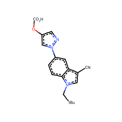 CC(C)(C)Cn1cc(C#N)c2cc(-n3cc(OC(=O)O)cn3)ccc21